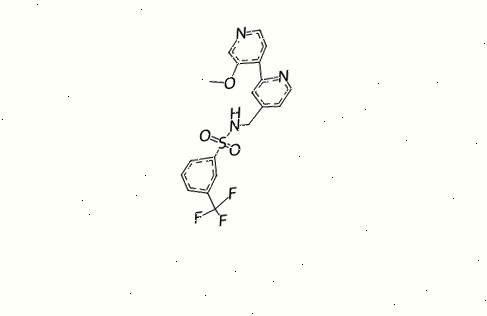 COc1cnccc1-c1cc(CNS(=O)(=O)c2cccc(C(F)(F)F)c2)ccn1